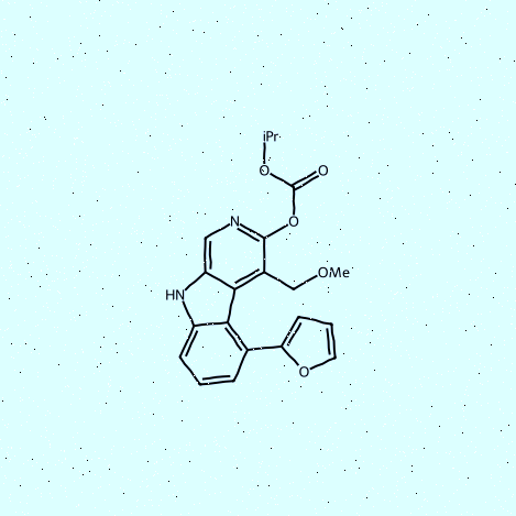 COCc1c(OC(=O)OC(C)C)ncc2[nH]c3cccc(-c4ccco4)c3c12